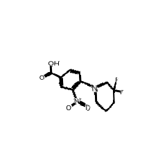 O=C(O)c1ccc(N2CCCC(F)(F)C2)c([N+](=O)[O-])c1